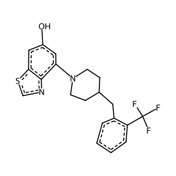 Oc1cc(N2CCC(Cc3ccccc3C(F)(F)F)CC2)c2ncsc2c1